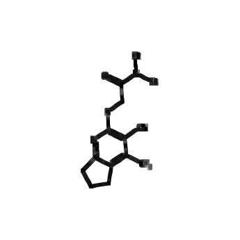 CCN(CC)C(=O)CSc1nc2c(c(C(F)(F)F)c1C#N)CCC2